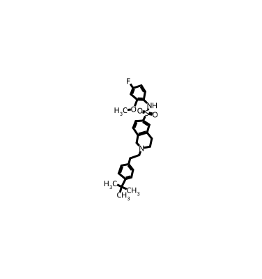 COc1cc(F)ccc1NS(=O)(=O)c1ccc2c(c1)CCN(CCc1ccc(C(C)(C)C)cc1)C2